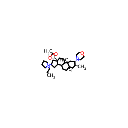 C=CC[N+]1([C@H]2CC3C4CC[C@H]5C[C@H](C)[C@@H](N6CCOCC6)C[C@]5(C)C4CC[C@]3(C)[C@H]2OC(C)=O)CCCC1